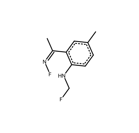 C/C(=N/F)c1cc(C)ccc1NCF